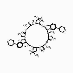 CC(C)C[C@H]1C(=O)O[C@H](C)C(=O)N(C)[C@@H](CC(C)(C)F)C(=O)O[C@H](Cc2ccc(C3CCOCC3)cc2)C(O)N(C)[C@@H](CC(C)C)C(=O)O[C@H](C)C(=O)N(C)[C@@H](CC(C)(C)F)C(=O)O[C@H](Cc2ccc(C3CCOCC3)cc2)C(=O)N1C